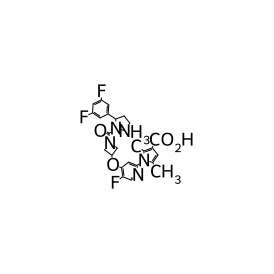 Cc1cc(C(=O)O)c(C)n1-c1cc(OC2CN(C(=O)N3N=CCC3c3cc(F)cc(F)c3)C2)c(F)cn1